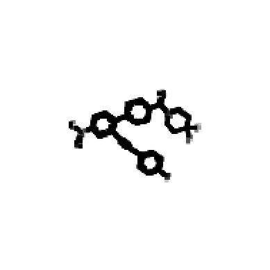 O=C(c1ccc(-c2ccc([N+](=O)[O-])cc2C#Cc2ccc(F)cc2)cc1)N1CCC(F)(F)CC1